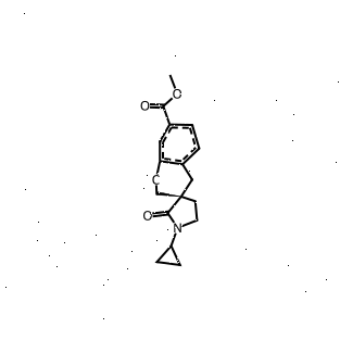 COC(=O)c1ccc2c(c1)CC[C@]1(CCN(C3CC3)C1=O)C2